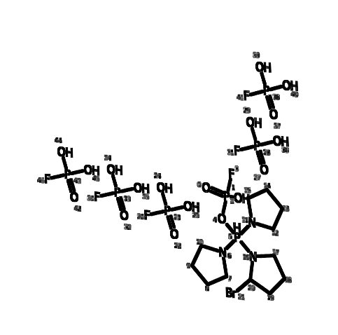 O=P(O)(F)O[PH](N1CCCC1)(N1CCCC1)N1CCCC1Br.O=P(O)(O)F.O=P(O)(O)F.O=P(O)(O)F.O=P(O)(O)F.O=P(O)(O)F